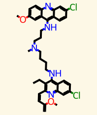 C=C(/C=C\c1nc2cc(Cl)ccc2c(NCCCCN(C)CCCNc2c3ccc(Cl)cc3nc3ccc(OC)cc23)c1CC)OC